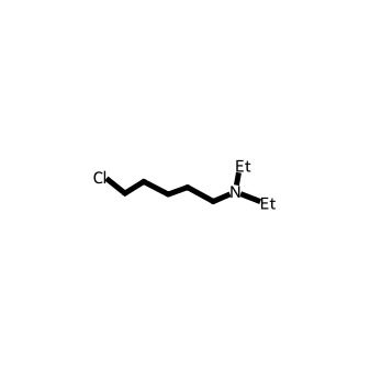 CCN(CC)CCCCCCl